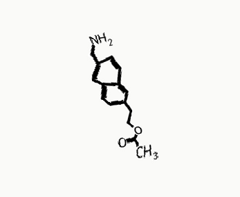 CC(=O)OCCc1ccc2cc(CN)ccc2c1